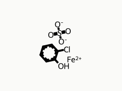 O=S(=O)([O-])[O-].Oc1ccccc1Cl.[Fe+2]